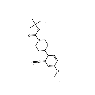 COC1=CC(=C=O)C(C2CCN(C(=O)OC(C)(C)C)CC2)C=C1